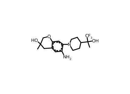 CC1(O)COc2cc(N3CCC(C(C)(O)C(F)(F)F)CC3)c(N)cc2C1